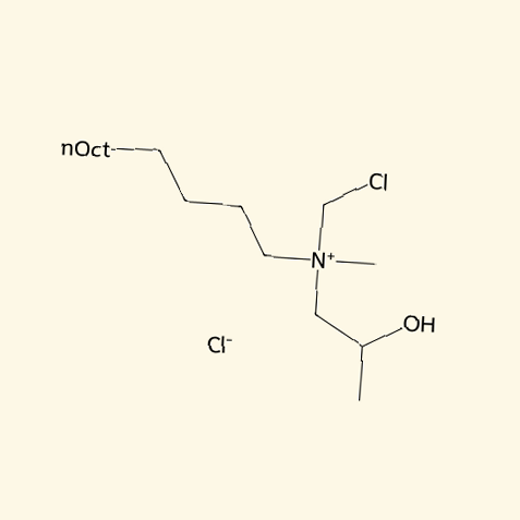 CCCCCCCCCCCC[N+](C)(CCl)CC(C)O.[Cl-]